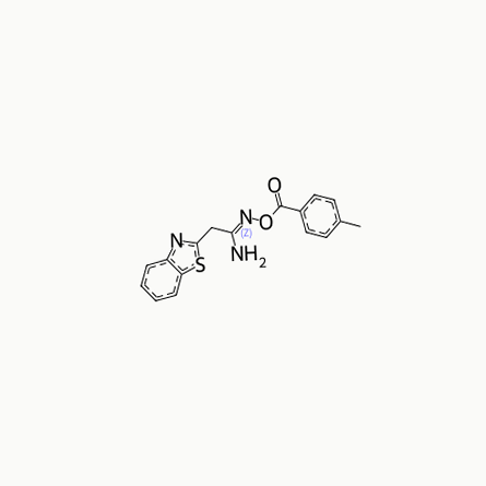 Cc1ccc(C(=O)O/N=C(\N)Cc2nc3ccccc3s2)cc1